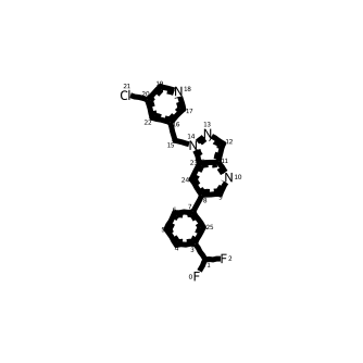 FC(F)c1cccc(-c2cnc3cnn(Cc4cncc(Cl)c4)c3c2)c1